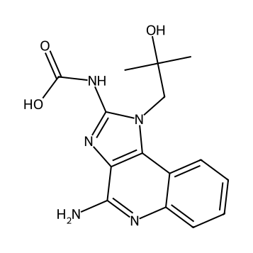 CC(C)(O)Cn1c(NC(=O)O)nc2c(N)nc3ccccc3c21